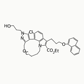 CCOC(=O)c1c(CCCOc2cccc3ccccc23)c2ccc(Cl)c3c2n1CCCCOCc1nn(CCCO)c(C)c1-3